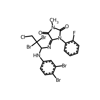 CN1C(=O)C(=NC(Nc2ccc(Br)c(Br)c2)C(Br)(Br)CCl)N(c2ccccc2F)C1=O